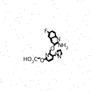 Nc1nc2ccc(F)cc2cc1OCc1nc(OCC(=O)O)ccc1-n1cccn1